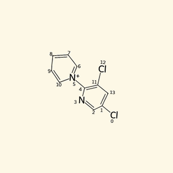 Clc1cnc(-[n+]2ccccc2)c(Cl)c1